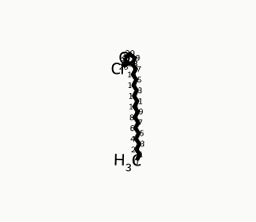 CCCCCCCCCCCCCCCCCCC1CCOC1Cl